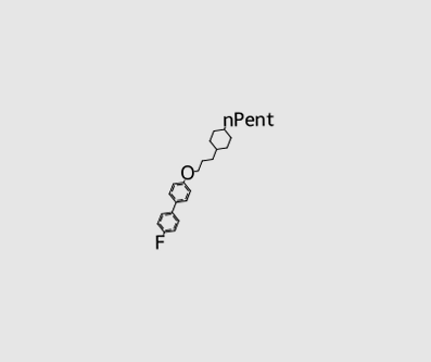 CCCCCC1CCC(CCCOc2ccc(-c3ccc(F)cc3)cc2)CC1